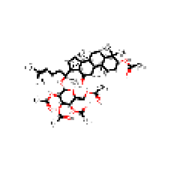 CC(=O)OCC1O[C@@H](O[C@@](C)(CCC=C(C)C)C2CC[C@]3(C)C2C(=O)CC2[C@@]4(C)CC[C@H](OC(C)=O)C(C)(C)C4CC[C@]23C)C(OC(C)=O)C(OC(C)=O)[C@@H]1OC(C)=O